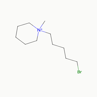 C[N+]1(CCCCCBr)CCCCC1